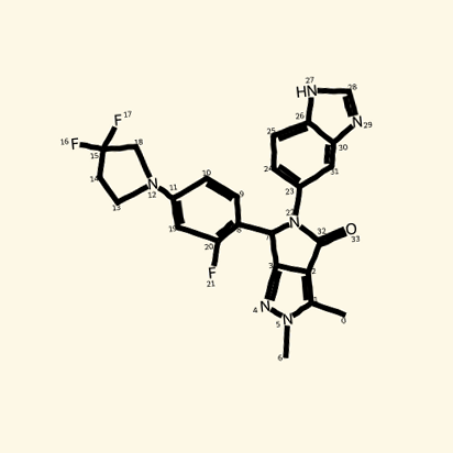 Cc1c2c(nn1C)C(c1ccc(N3CCC(F)(F)C3)cc1F)N(c1ccc3[nH]cnc3c1)C2=O